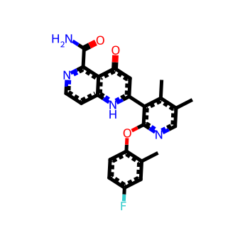 Cc1cc(F)ccc1Oc1ncc(C)c(C)c1-c1cc(=O)c2c(C(N)=O)nccc2[nH]1